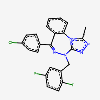 Cc1nnc2n1-c1ccccc1C(c1ccc(Cl)cc1)=NN2Cc1cc(F)ccc1F